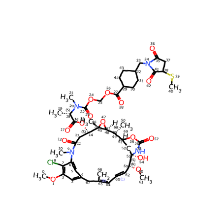 COc1cc2cc(c1Cl)N(C)C(=O)C[C@H](OC(=O)[C@H](C)N(C)C(=O)OCOC(=O)C1CCC(CN3C(=O)CC(SC)C3=O)CC1)[C@]1(C)O[C@H]1[C@H](C)[C@@H]1C[C@@](O)(NC(=O)O1)[C@H](OC)/C=C/C=C(\C)C2